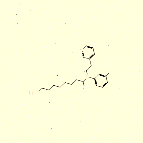 CCCCCCCCC(C)N(CCc1cccnc1)c1cccc(Cl)c1